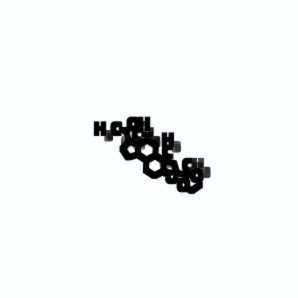 CC(O)[C@@H]1CCC2C3CCC(=O)[C@@](C)(CCC4(C)OCCO4)C3CC[C@]21C